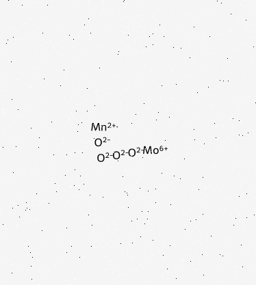 [Mn+2].[Mo+6].[O-2].[O-2].[O-2].[O-2]